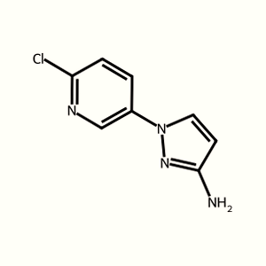 Nc1ccn(-c2ccc(Cl)nc2)n1